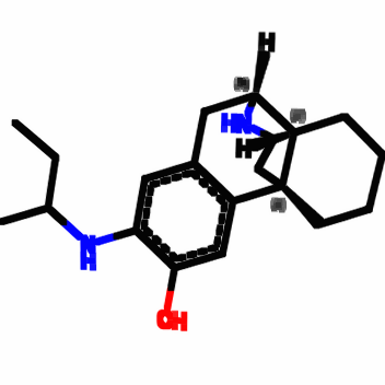 CCC(C)Nc1cc2c(cc1O)[C@@]13CCCC[C@H]1[C@@H](C2)NCC3